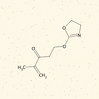 C=C(C)C(=O)CCOC1=NCCO1